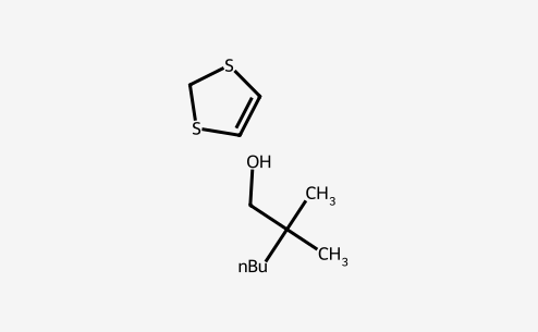 C1=CSCS1.CCCCC(C)(C)CO